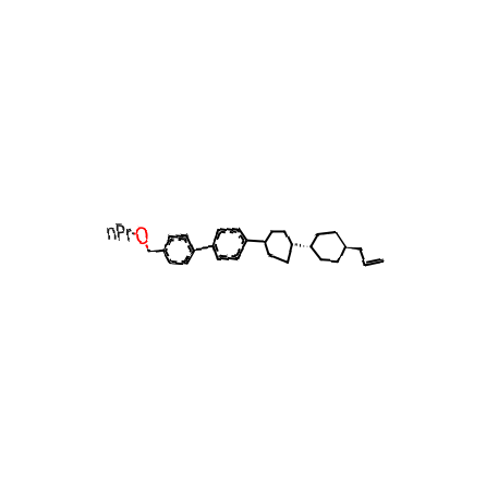 C=CC[C@H]1CC[C@H](C2CCC(c3ccc(-c4ccc(COCCC)cc4)cc3)CC2)CC1